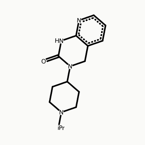 CC(C)N1CCC(N2Cc3cccnc3NC2=O)CC1